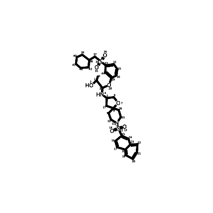 CC(O)C(NC1COC2(CCN(S(=O)(=O)c3ccc4ccccc4c3)CC2)C1)Oc1cccc(S(=O)(=O)CC2CCCCC2)c1